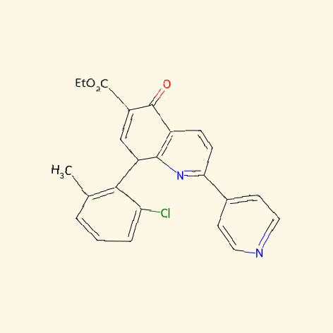 CCOC(=O)C1=CC(c2c(C)cccc2Cl)c2nc(-c3ccncc3)ccc2C1=O